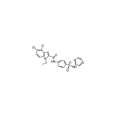 CCn1c(C(=O)Nc2ccc(S(=O)(=O)Nc3cnccn3)cc2)cc2c(Cl)c(Cl)ccc21